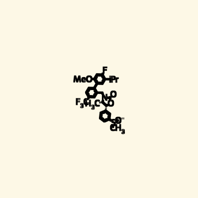 COc1cc(F)c(C(C)C)cc1-c1ccc(C(F)(F)F)cc1CN1C(=O)O[C@H](c2cccc([S+](C)[O-])c2)[C@@H]1C